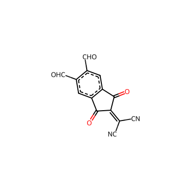 N#CC(C#N)=C1C(=O)c2cc(C=O)c(C=O)cc2C1=O